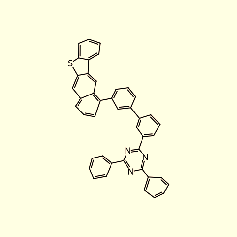 c1ccc(-c2nc(-c3ccccc3)nc(-c3cccc(-c4cccc(-c5cccc6cc7sc8ccccc8c7cc56)c4)c3)n2)cc1